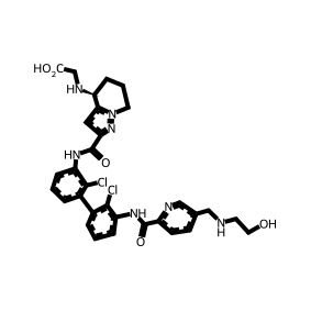 O=C(O)CN[C@H]1CCCn2nc(C(=O)Nc3cccc(-c4cccc(NC(=O)c5ccc(CNCCO)cn5)c4Cl)c3Cl)cc21